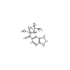 BC(B)N[C@@](C)(O)C(=O)c1ccc2c(c1)OCO2